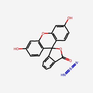 O=C1OC2(c3ccc(O)cc3Oc3cc(O)ccc32)c2ccccc21.[N-]=[N+]=N